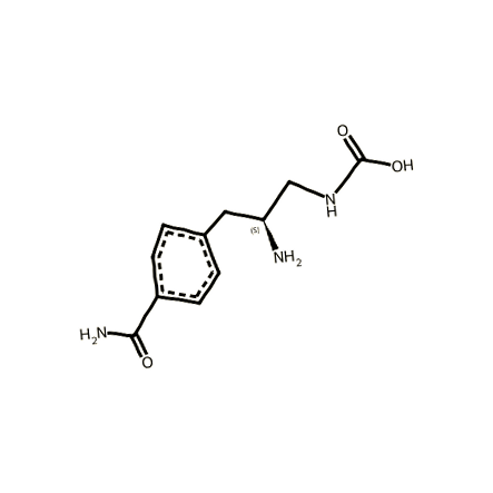 NC(=O)c1ccc(C[C@H](N)CNC(=O)O)cc1